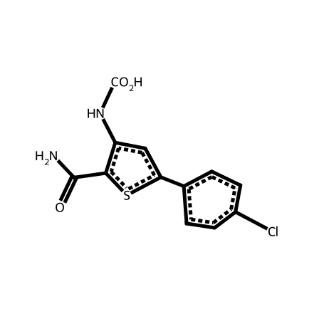 NC(=O)c1sc(-c2ccc(Cl)cc2)cc1NC(=O)O